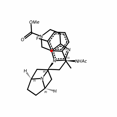 COC(=O)N1CCc2nc(C)n([C@H]3C[C@H]4CC[C@@H](C3)N4CC[C@H](NC(C)=O)c3cccc(F)c3)c2C1